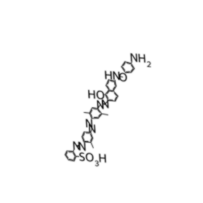 Cc1cc(N=Nc2ccc3cc(NOc4ccc(N)cc4)ccc3c2O)c(C)cc1N=Nc1ccc(N=Nc2ccccc2S(=O)(=O)O)c(C)c1